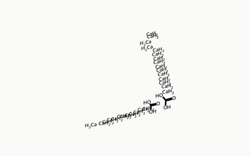 O=C(O)O.O=C(O)O.[CaH2].[CaH2].[CaH2].[CaH2].[CaH2].[CaH2].[CaH2].[CaH2].[CaH2].[CaH2].[CaH2].[CaH2].[CaH2].[CaH2].[CaH2].[CaH2].[CaH2].[CaH2].[CaH2].[CaH2].[CaH2].[CaH2].[CaH2].[CaH2].[CaH2].[CaH2].[CaH2]